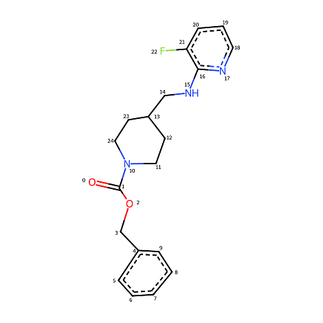 O=C(OCc1ccccc1)N1CCC(CNc2ncccc2F)CC1